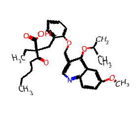 CCCCC(=O)C(CC)(Cc1ccccc1OCc1cnc2ccc(OC)cc2c1OC(C)C)C(=O)O